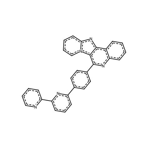 c1ccc(-c2cccc(-c3ccc(-c4nc5ccccc5c5nc6ccccn6c45)cc3)n2)nc1